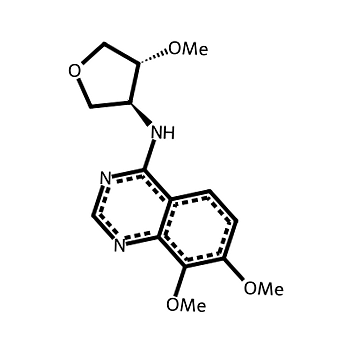 COc1ccc2c(N[C@H]3COC[C@@H]3OC)ncnc2c1OC